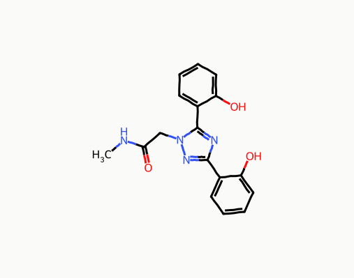 CNC(=O)Cn1nc(-c2ccccc2O)nc1-c1ccccc1O